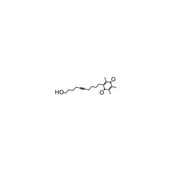 CC1=C(C)C(=O)C(CCCCC#CCCCCO)=C(C)C1=O